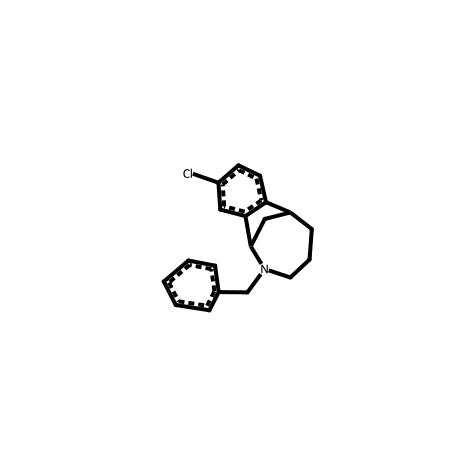 Clc1ccc2c(c1)C1CC2CCCN1Cc1ccccc1